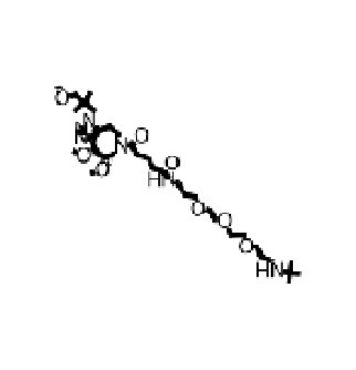 COCC(C)(C)Cn1nnc2c1CCN(C(=O)CCCC(=O)NCCCOCCOCCOCCCNC(C)(C)C)C[C@H](OC)[C@H]2OC